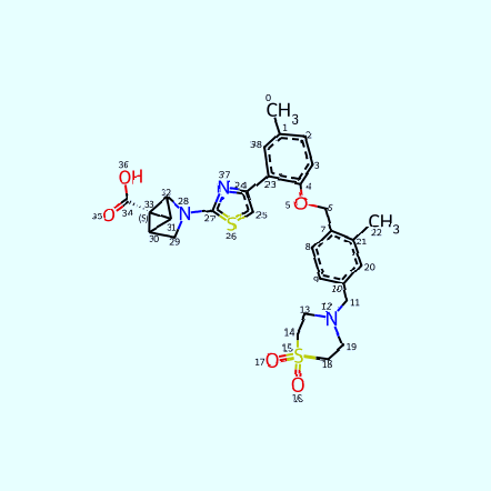 Cc1ccc(OCc2ccc(CN3CCS(=O)(=O)CC3)cc2C)c(-c2csc(N3CC4C5C3[C@]45C(=O)O)n2)c1